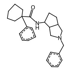 O=C(NC1CCC2CN(Cc3ccccc3)CC21)C1(c2ccccc2)CCCCC1